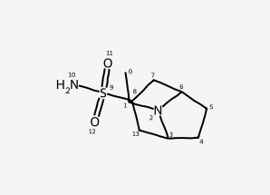 CCN1C2CCC1CC(S(N)(=O)=O)C2